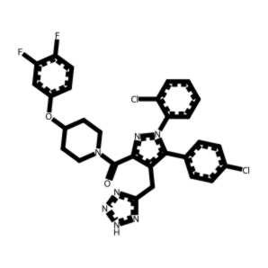 O=C(c1nn(-c2ccccc2Cl)c(-c2ccc(Cl)cc2)c1Cc1nn[nH]n1)N1CCC(Oc2ccc(F)c(F)c2)CC1